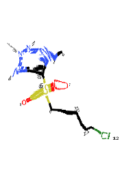 Cn1nnnc1S(=O)(=O)CCCCl